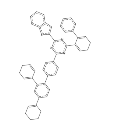 C1=CC(c2cc(C3=CCCCC3)ccc2-c2ccc(-c3nc(C4=CCCC=C4c4ccccc4)nc(-c4cc5ccccc5s4)n3)cc2)=CCC1